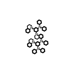 c1ccc(N(c2ccccc2)c2cc(N3CCCc4ccccc43)cc(N3CCCc4c3cccc4N(c3ccccc3)c3cc(N4CCCc5ccccc54)cc(N(c4ccccc4)c4ccccc4)c3)c2)cc1